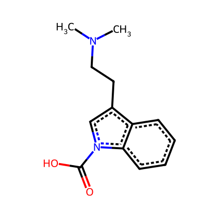 CN(C)CCc1cn(C(=O)O)c2ccccc12